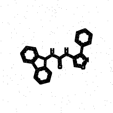 O=C(Nc1conc1-c1ccccc1)NC1c2ccccc2-c2ccccc21